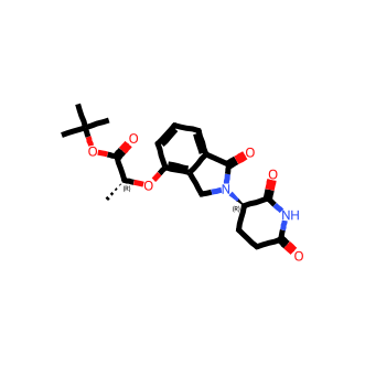 C[C@@H](Oc1cccc2c1CN([C@@H]1CCC(=O)NC1=O)C2=O)C(=O)OC(C)(C)C